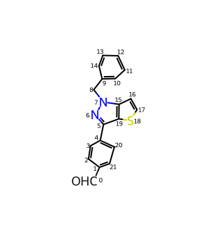 O=Cc1ccc(-c2nn(Cc3ccccc3)c3ccsc23)cc1